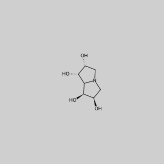 O[C@@H]1CN2C[C@@H](O)[C@@H](O)C2[C@@H]1O